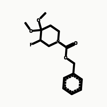 COC1(OC)CCN(C(=O)OCc2ccccc2)CC1F